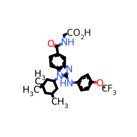 CC1CC(n2c(Nc3ccc(OC(F)(F)F)cc3)nc3cc(C(=O)NCC(=O)O)ccc32)CC(C)(C)C1